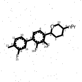 CCCC1CCC(c2ccc(-c3ccc(C)c(F)c3)c(F)c2F)OC1